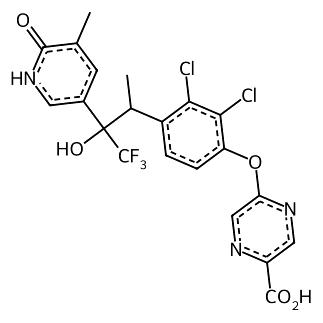 Cc1cc(C(O)(C(C)c2ccc(Oc3cnc(C(=O)O)cn3)c(Cl)c2Cl)C(F)(F)F)c[nH]c1=O